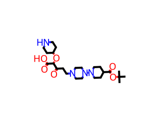 CC(C)(C)OC(=O)C1CCN(N2CCN(CCC(=O)C(OC3CCNCC3)C(=O)O)CC2)CC1